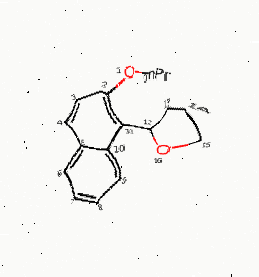 CCCOc1ccc2ccccc2c1[C]1CCCO1